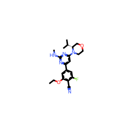 CCOc1cc(-c2cc(N3CCOC[C@H]3C(C)C)nc(NC)n2)cc(F)c1C#N